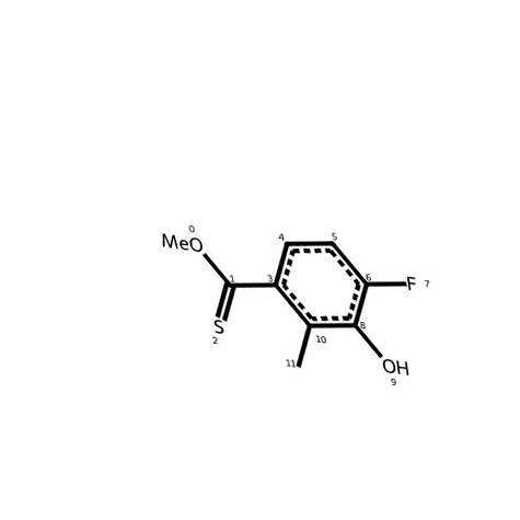 COC(=S)c1ccc(F)c(O)c1C